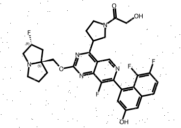 O=C(CO)N1CCC(c2nc(OC[C@@]34CCCN3C[C@H](F)C4)nc3c(F)c(-c4cc(O)cc5ccc(F)c(F)c45)ncc23)C1